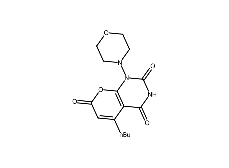 CCCCc1cc(=O)oc2c1c(=O)[nH]c(=O)n2N1CCOCC1